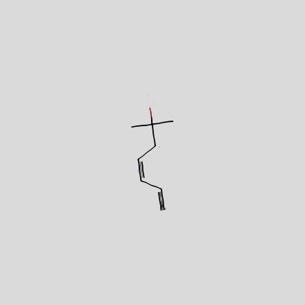 C=C/C=C\CC(C)(C)Br